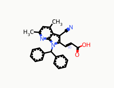 Cc1cc(C)c2c(C#N)c(/C=C/C(=O)O)n(C(c3ccccc3)c3ccccc3)c2n1